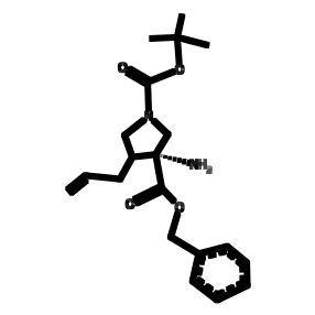 C=CCC1CN(C(=O)OC(C)(C)C)C[C@@]1(N)C(=O)OCc1ccccc1